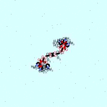 CCC(OC(=O)OC1CCN(C)C(C)(C)C1C)C(OC(=O)OC1CCN(C)C(C)(C)C1C)(OC(=O)OC1CCN(C)C(C)(C)C1C)C(=O)OCC(C)(C)C1OCC2(CO1)COC(C(C)(C)COC(=O)C(OC(=O)OC1CCN(C)C(C)(C)C1C)(OC(=O)OC1CCN(C)C(C)(C)C1C)C(CC)OC(=O)OC1CCN(C)C(C)(C)C1C)OC2